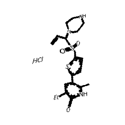 C=CC(N1CCNCC1)S(=O)(=O)c1ccc(-c2cc(CC)c(=O)[nH]c2C)s1.Cl